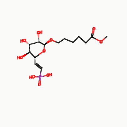 COC(=O)CCCCCO[C@H]1O[C@H](/C=C/P(=O)(O)O)[C@@H](O)[C@H](O)[C@@H]1O